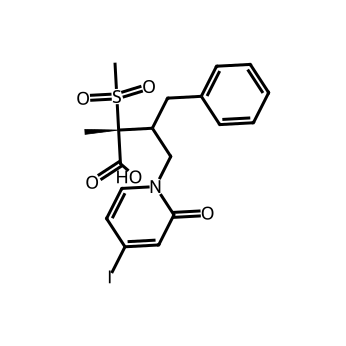 C[C@](C(=O)O)(C(Cc1ccccc1)Cn1ccc(I)cc1=O)S(C)(=O)=O